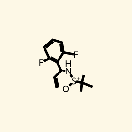 C=C[C@H](N[S+]([O-])C(C)(C)C)c1c(F)cccc1F